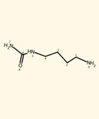 NCCCCNC(N)=O